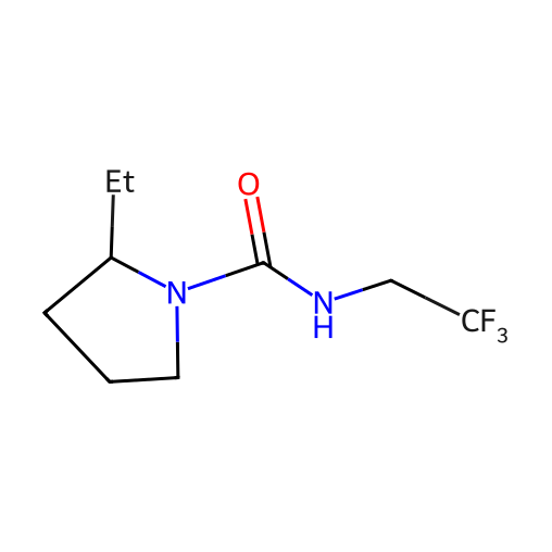 CCC1CCCN1C(=O)NCC(F)(F)F